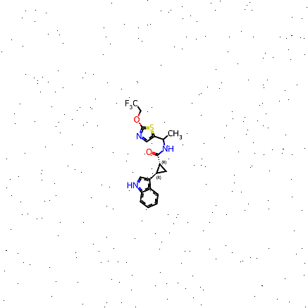 CC(NC(=O)[C@@H]1C[C@H]1c1c[nH]c2ccccc12)c1cnc(OCC(F)(F)F)s1